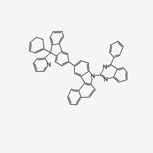 C1=CCCC(C2(c3ccccn3)c3ccccc3-c3cc(-c4ccc5c(c4)c4c6ccccc6ccc4n5-c4nc(-c5ccccc5)c5ccccc5n4)ccc32)=C1